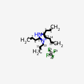 C=CCc1[nH]c(CC=C)[n+](CC=C)c1CC=C.F[B-](F)(F)F